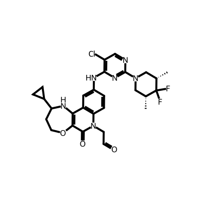 C[C@@H]1CN(c2ncc(Cl)c(Nc3ccc4c(c3)c3c(c(=O)n4CC=O)OCCC(C4CC4)N3)n2)C[C@H](C)C1(F)F